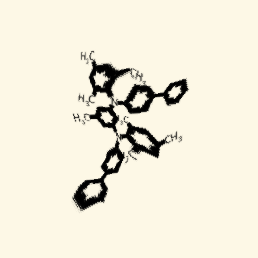 Cc1cc(N(c2ccc(-c3ccccc3)cc2)c2c(C)cc(C)cc2C)cc(N(c2ccc(-c3ccccc3)cc2)c2c(C)cc(C)cc2C)c1